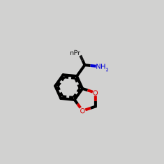 CCCC(N)c1cccc2c1OCO2